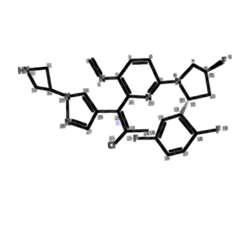 C=Nc1ccc(N2C[C@@H](F)C[C@@H]2c2cc(F)ccc2F)nc1/C(=C(\C)Cl)c1cnn(C2CNC2)c1